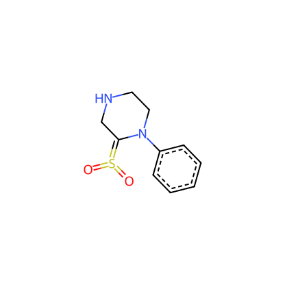 O=S(=O)=C1CNCCN1c1ccccc1